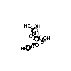 C#C[C@H](CNC(=O)[C@@H]1CCCN(C(=O)COC2CCNCC2)C1)C(=O)O.O=C(O)C(F)(F)F